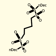 CCCCCCCCCCS(=O)(=O)S(=O)(=O)CCCCS(=O)(=O)S(=O)(=O)CCCCCCCCCC